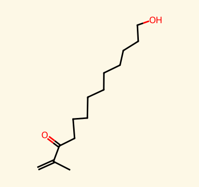 C=C(C)C(=O)CCCCCCCCCCO